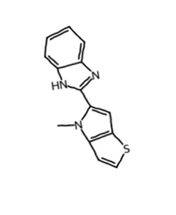 Cn1c(-c2nc3ccccc3[nH]2)cc2sccc21